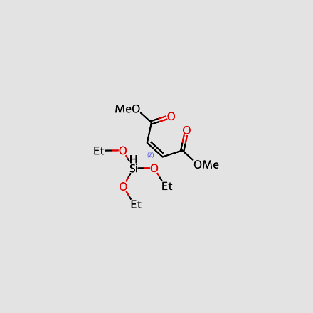 CCO[SiH](OCC)OCC.COC(=O)/C=C\C(=O)OC